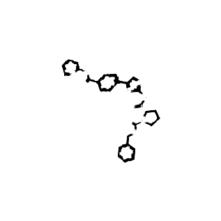 O=C(Nc1ccccn1)c1ccc(-c2csc(NC(=O)[C@@H]3CCCN3C(=O)OCc3ccccc3)n2)cc1